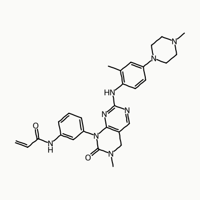 C=CC(=O)Nc1cccc(N2C(=O)N(C)Cc3cnc(Nc4ccc(N5CCN(C)CC5)cc4C)nc32)c1